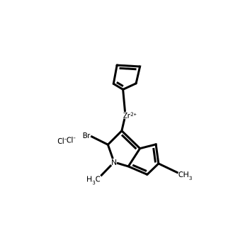 CC1=CC2=[C]([Zr+2][C]3=CC=CC3)C(Br)N(C)C2=C1.[Cl-].[Cl-]